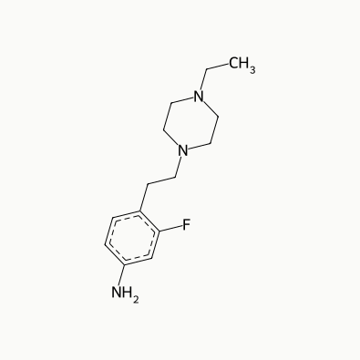 CCN1CCN(CCc2ccc(N)cc2F)CC1